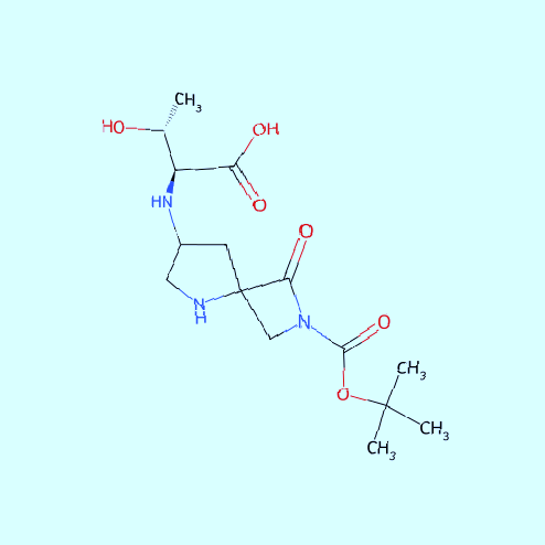 C[C@@H](O)[C@H](NC1CNC2(C1)CN(C(=O)OC(C)(C)C)C2=O)C(=O)O